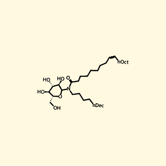 CCCCCCCC/C=C\CCCCCCCC(=O)N(CCCCCCCCCCCCCC)C1O[C@H](CO)[C@@H](O)[C@H](O)[C@H]1O